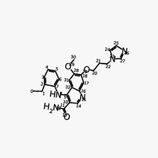 CCc1ccccc1Nc1c(C(N)=O)cnc2cc(OCCCn3ccnc3)c(OC)cc12